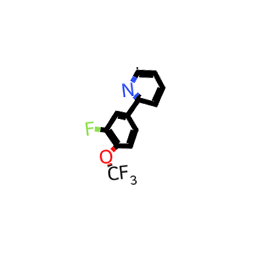 Fc1cc(-c2ccc[c]n2)ccc1OC(F)(F)F